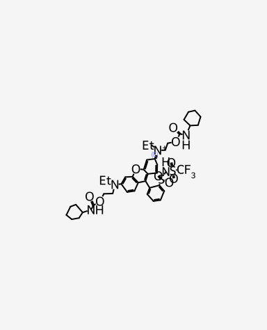 CCN(CCOC(=O)NC1CCCCC1)c1ccc2c(-c3ccccc3S(=O)(=O)NS(=O)(=O)C(F)(F)F)c3cc/c(=[N+](/CC)CCOC(=O)NC4CCCCC4)cc-3oc2c1